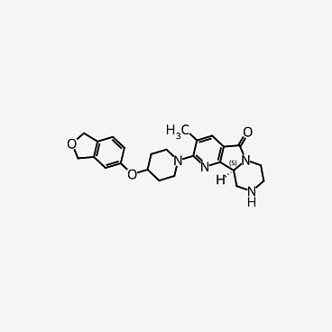 Cc1cc2c(nc1N1CCC(Oc3ccc4c(c3)COC4)CC1)[C@@H]1CNCCN1C2=O